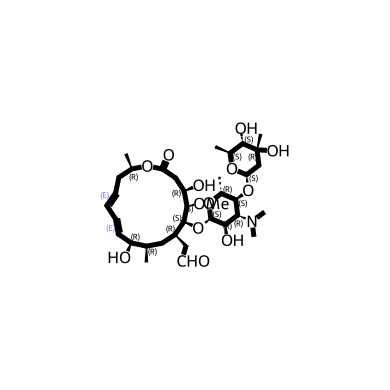 CO[C@@H]1[C@@H](O[C@@H]2O[C@H](C)[C@@H](O[C@H]3C[C@@](C)(O)[C@@H](O)[C@H](C)O3)[C@H](N(C)C)[C@H]2O)[C@@H](CC=O)C[C@@H](C)[C@@H](O)/C=C/C=C/C[C@@H](C)OC(=O)C[C@H]1O